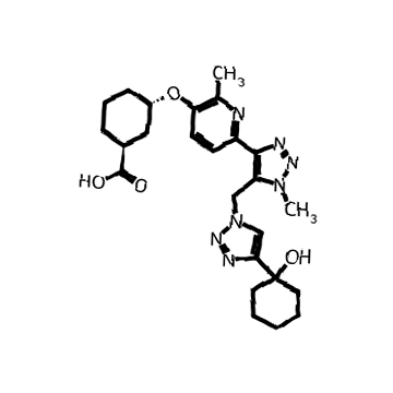 Cc1nc(-c2nnn(C)c2Cn2cc(C3(O)CCCCC3)nn2)ccc1O[C@H]1CCC[C@H](C(=O)O)C1